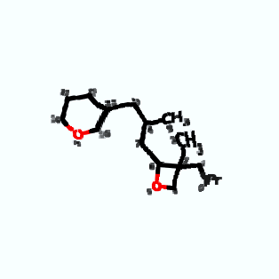 CC(C)CC1(C)COC1CC(C)CC1CCCOC1